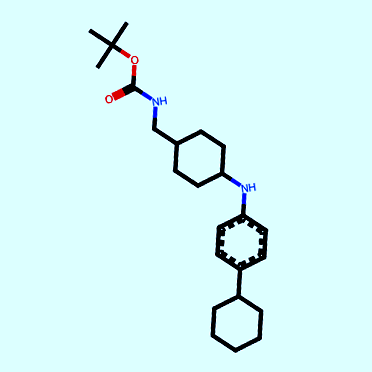 CC(C)(C)OC(=O)NCC1CCC(Nc2ccc(C3CCCCC3)cc2)CC1